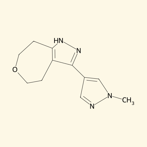 Cn1cc(-c2n[nH]c3c2CCOCC3)cn1